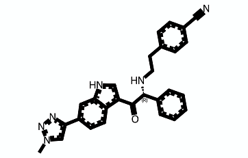 Cn1cc(-c2ccc3c(C(=O)[C@H](NCCc4ccc(C#N)cc4)c4ccccc4)c[nH]c3c2)nn1